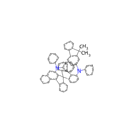 CC1(C)c2ccccc2-c2ccc(N(c3ccccc3)c3cccc4c3-c3ccccc3C43c4ccccc4-c4c3c(N(c3ccccc3)c3ccccc3)cc3ccccc43)cc21